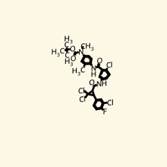 Cc1cc(N(C)C(=O)OC(C)(C)C)ccc1NC(=O)c1cc(NC(=O)C2C(c3ccc(F)c(Cl)c3)C2(Cl)Cl)ccc1Cl